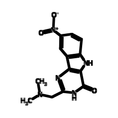 CN(C)Cc1nc2c([nH]c3ccc([N+](=O)[O-])cc32)c(=O)[nH]1